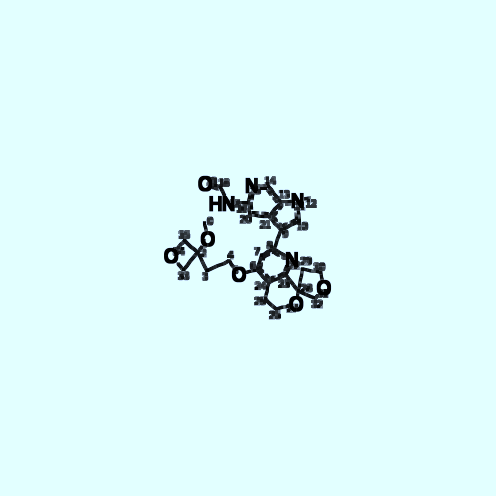 COC1(CCOc2cc(-c3cn(C)c4cnc(NC=O)cc34)nc3c2CCOC32CCOC2)COC1